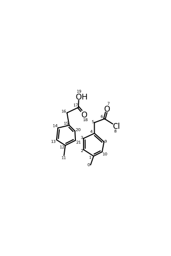 Cc1ccc(CC(=O)Cl)cc1.Cc1ccc(CC(=O)O)cc1